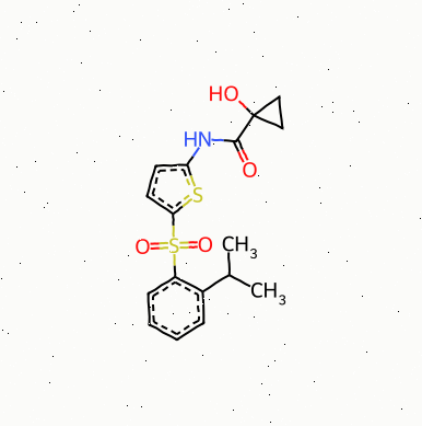 CC(C)c1ccccc1S(=O)(=O)c1ccc(NC(=O)C2(O)CC2)s1